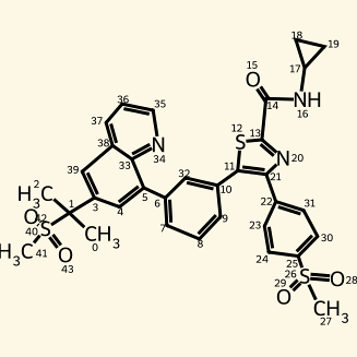 CC(C)(c1cc(-c2cccc(-c3sc(C(=O)NC4CC4)nc3-c3ccc(S(C)(=O)=O)cc3)c2)c2ncccc2c1)S(C)(=O)=O